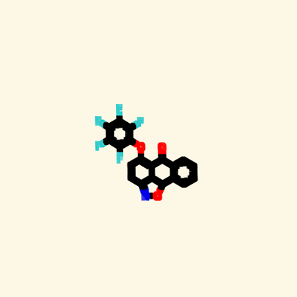 O=C1C2=C(Oc3c(F)c(F)c(F)c(F)c3F)C=CC3=NOC(c4ccccc41)C32